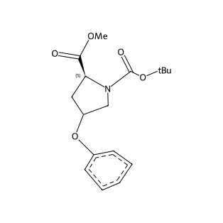 COC(=O)[C@@H]1CC(Oc2ccccc2)CN1C(=O)OC(C)(C)C